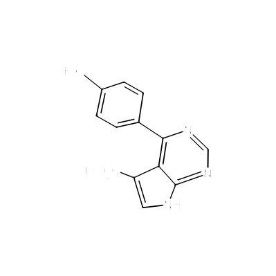 CCOC(=O)c1c[nH]c2ncnc(-c3ccc(C(F)(F)F)cc3)c12